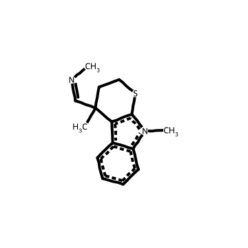 C/N=C\C1(C)CCSc2c1c1ccccc1n2C